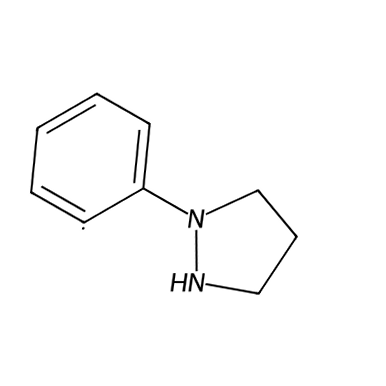 [c]1ccccc1N1CCCN1